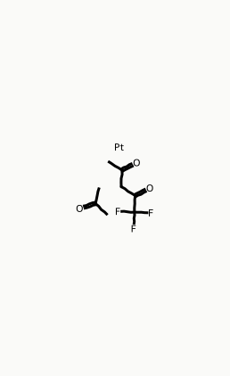 CC(=O)CC(=O)C(F)(F)F.CC(C)=O.[Pt]